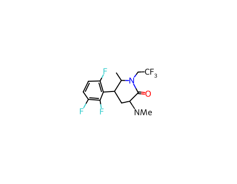 CNC1CC(c2c(F)ccc(F)c2F)C(C)N(CC(F)(F)F)C1=O